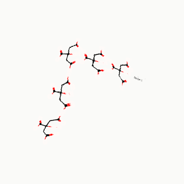 O=C([O-])CC(O)(CC(=O)[O-])C(=O)[O-].O=C([O-])CC(O)(CC(=O)[O-])C(=O)[O-].O=C([O-])CC(O)(CC(=O)[O-])C(=O)[O-].O=C([O-])CC(O)(CC(=O)[O-])C(=O)[O-].O=C([O-])CC(O)(CC(=O)[O-])C(=O)[O-].[Nb+5].[Nb+5].[Nb+5]